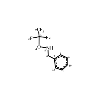 FC(F)(F)C(F)(F)ONCc1ccccc1